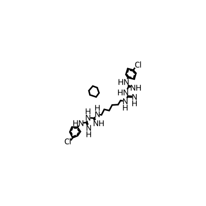 C1CCCCC1.N=C(NCCCCCCNC(=N)NC(=N)Nc1ccc(Cl)cc1)NC(=N)Nc1ccc(Cl)cc1